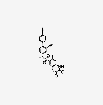 C#Cc1ccc(-c2ccc(NS(=O)(=O)c3cc4[nH]c(=O)c(=O)[nH]c4cc3C)cc2C#C)cc1